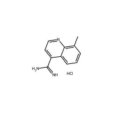 Cc1cccc2c(C(=N)N)ccnc12.Cl